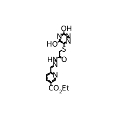 CCOC(=O)c1ccc(/C=N/NC(=O)CSc2nnc(O)nc2O)nc1